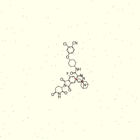 N#Cc1ccc(OC2CCC(NC(=O)c3ccc(N4C5CC4CN(Cc4cc(F)c6c(c4)C(=O)N(C4CCC(=O)NC4=O)C6=O)C5)nn3)CC2)cc1Cl